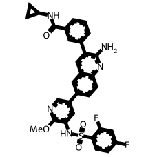 COc1ncc(-c2ccc3nc(N)c(-c4cccc(C(=O)NC5CC5)c4)cc3c2)cc1NS(=O)(=O)c1ccc(F)cc1F